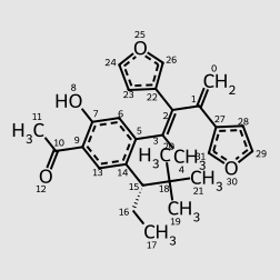 C=C(/C(=C(\C)c1cc(O)c(C(C)=O)cc1[C@@H](CC)C(C)(C)C)c1ccoc1)c1ccoc1